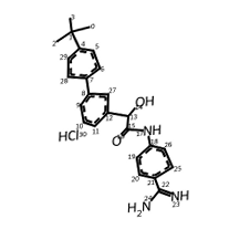 CC(C)(C)c1ccc(-c2cccc(C(O)C(=O)Nc3ccc(C(=N)N)cc3)c2)cc1.Cl